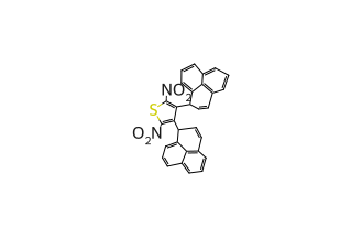 O=[N+]([O-])c1sc([N+](=O)[O-])c(C2C=Cc3cccc4cccc2c34)c1C1C=Cc2cccc3cccc1c23